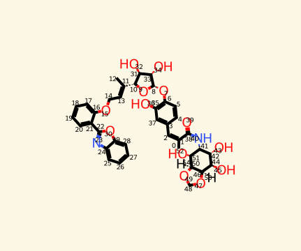 CC(=Cc1ccc(O[C@@H]2O[C@H](/C(C)=C/COc3ccccc3-c3nc4ccccc4o3)[C@@H](O)[C@@H]2O)c(O)c1)C(=O)N[C@@H]1[C@H](O)[C@@H](O)[C@H]2OCO[C@H]2[C@@H]1O